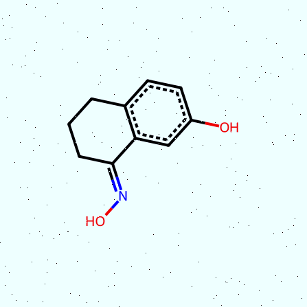 ON=C1CCCc2ccc(O)cc21